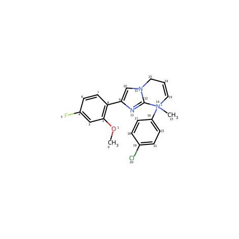 COc1cc(F)ccc1-c1cn2c(n1)[N+](C)(c1ccc(Cl)cc1)C=CC2